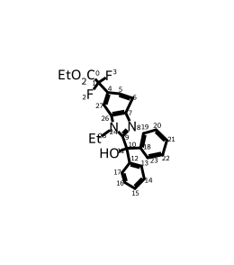 CCOC(=O)C(F)(F)c1ccc2nc(C(O)(c3ccccc3)c3ccccc3)n(CC)c2c1